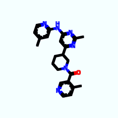 Cc1ccnc(Nc2cc(C3CCCN(C(=O)c4cnccc4C)C3)nc(C)n2)c1